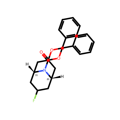 O=C(OCc1ccccc1)N1[C@@H]2CC(F)C[C@H]1CC(OCc1ccccc1)C2